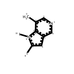 Cc1cncc2cc(I)n(I)c12